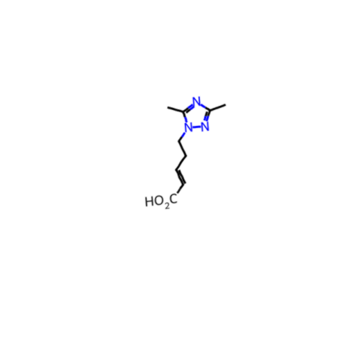 Cc1nc(C)n(CCC=CC(=O)O)n1